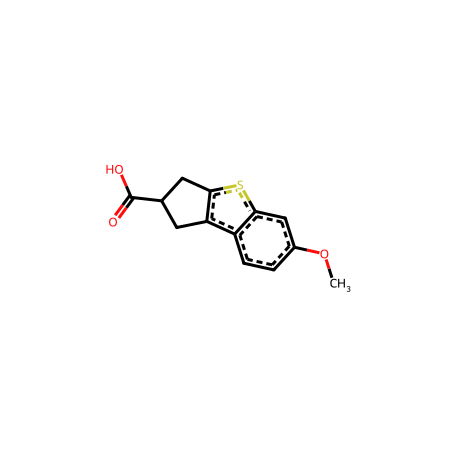 COc1ccc2c3c(sc2c1)CC(C(=O)O)C3